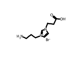 NCCC[n+]1ccn(CCC(=O)O)c1.[Br-]